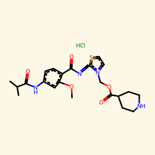 COc1cc(NC(=O)C(C)C)ccc1C(=O)N=c1sccn1COC(=O)C1CCNCC1.Cl